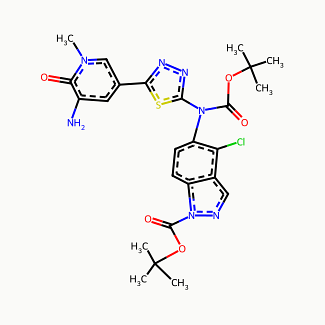 Cn1cc(-c2nnc(N(C(=O)OC(C)(C)C)c3ccc4c(cnn4C(=O)OC(C)(C)C)c3Cl)s2)cc(N)c1=O